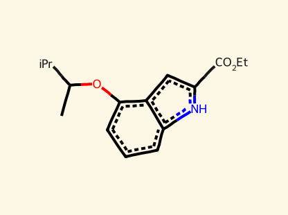 CCOC(=O)c1cc2c(OC(C)C(C)C)cccc2[nH]1